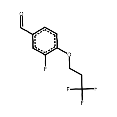 O=Cc1ccc(OCCC(F)(F)F)c(F)c1